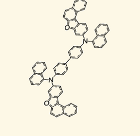 c1ccc2c(N(c3ccc(-c4ccc(N(c5ccc6c(c5)oc5ccc7ccccc7c56)c5cccc6ccccc56)cc4)cc3)c3ccc4c(c3)oc3ccc5ccccc5c34)cccc2c1